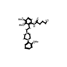 COc1ccccc1N1CCN(CCc2c(NC(=O)CCCCl)ccc(OC)c2OC)CC1